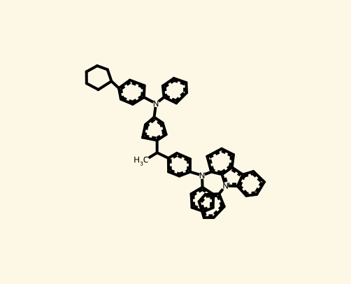 CC(c1ccc(N(c2ccccc2)c2ccc(C3CCCCC3)cc2)cc1)c1ccc(N(c2ccccc2)c2cccc3c4ccccc4n(-c4ccccc4)c23)cc1